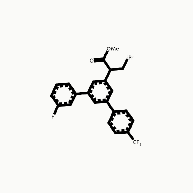 COC(=O)C(CC(C)C)c1cc(-c2ccc(C(F)(F)F)cc2)cc(-c2cccc(F)c2)c1